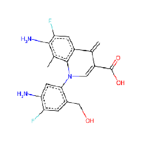 C=C1C(C(=O)O)=CN(c2cc(N)c(F)cc2CO)c2c1cc(F)c(N)c2C